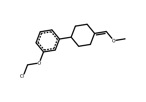 COC=C1CCC(c2cccc(OCCl)c2)CC1